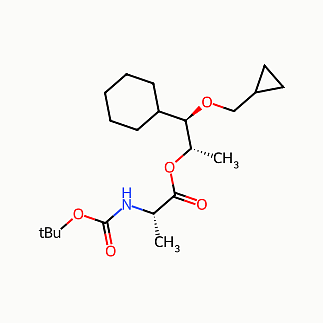 C[C@H](NC(=O)OC(C)(C)C)C(=O)O[C@@H](C)[C@H](OCC1CC1)C1CCCCC1